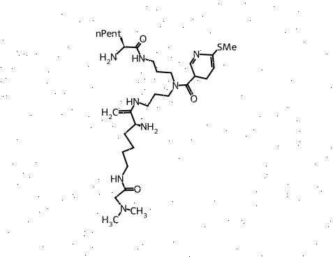 C=C(NCCCN(CCCNC(=O)[C@@H](N)CCCCC)C(=O)C1C=NC(SC)=CC1)[C@@H](N)CCCCNC(=O)CN(C)C